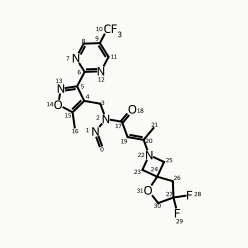 C=NN(Cc1c(-c2ncc(C(F)(F)F)cn2)noc1C)C(=O)/C=C(\C)N1CC2(C1)CC(F)(F)CO2